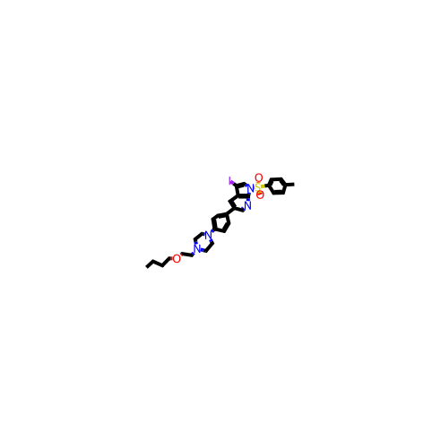 CCCCOCCN1CCN(c2ccc(-c3cnc4c(c3)c(I)cn4S(=O)(=O)c3ccc(C)cc3)cc2)CC1